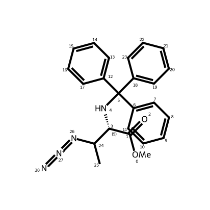 COC(=O)[C@@H](NC(c1ccccc1)(c1ccccc1)c1ccccc1)C(C)N=[N+]=[N-]